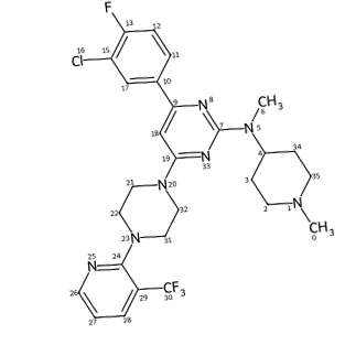 CN1CCC(N(C)c2nc(-c3ccc(F)c(Cl)c3)cc(N3CCN(c4ncccc4C(F)(F)F)CC3)n2)CC1